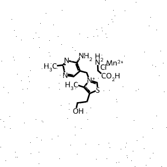 Cc1ncc(C[n+]2csc(CCO)c2C)c(N)n1.NCC(=O)O.[Cl-].[Mn+2]